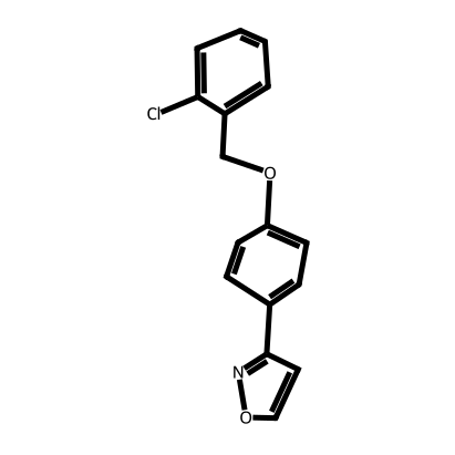 Clc1ccccc1COc1ccc(-c2ccon2)cc1